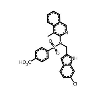 Cc1c(N(Cc2cc3ccc(Cl)cc3[nH]2)S(=O)(=O)c2ccc(C(=O)O)cc2)ncc2ccccc12